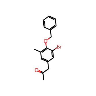 CC(=O)Cc1cc(C)c(OCc2ccccc2)c(Br)c1